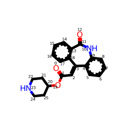 O=C(/C=C1/c2ccccc2NC(=O)c2ccccc21)OC1CCNCC1